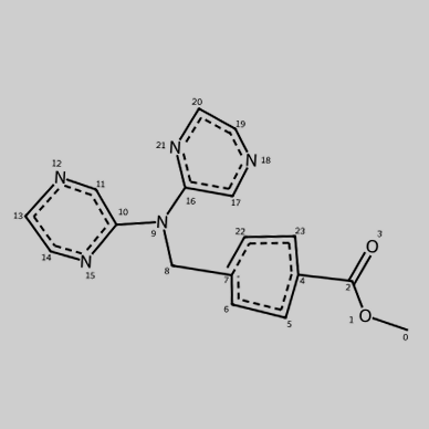 COC(=O)c1ccc(CN(c2cnccn2)c2cnccn2)cc1